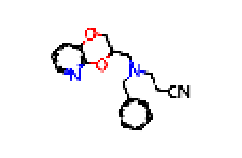 N#CCCN(Cc1ccccc1)CC1COc2cccnc2O1